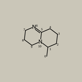 CC1CCCC2=NCCCN21